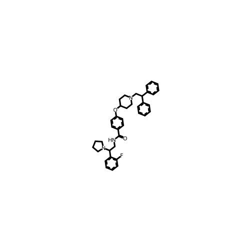 O=C(NCC(c1ccccc1F)N1CCCC1)c1ccc(OC2CCN(CC(c3ccccc3)c3ccccc3)CC2)cc1